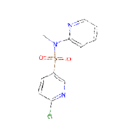 CN(c1ccccn1)S(=O)(=O)c1ccc(Cl)nc1